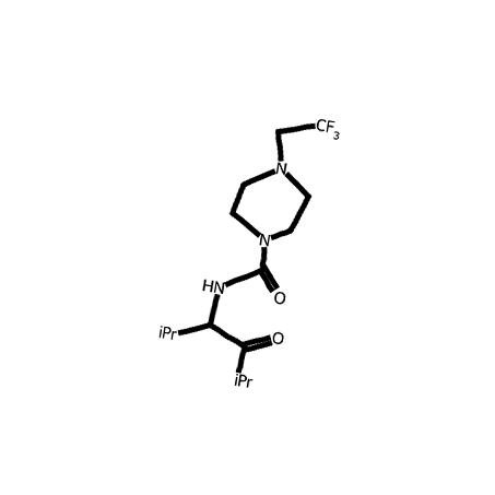 CC(C)C(=O)C(NC(=O)N1CCN(CC(F)(F)F)CC1)C(C)C